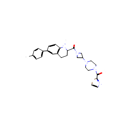 CC(=O)N1c2ccc(-c3ccc(C(F)(F)F)cc3)cc2CCC1C(=O)N1CC(N2CCN(C(=O)c3nccs3)CC2)C1